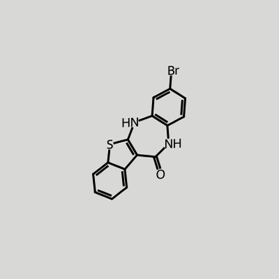 O=C1Nc2ccc(Br)cc2Nc2sc3ccccc3c21